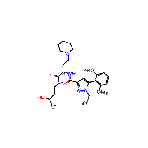 CCC(O)CCNC(=O)[C@H](CCN1CCCCC1)NC(=O)c1cc(-c2c(OC)cccc2OC)n(CC(C)C)n1